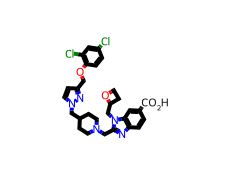 O=C(O)c1ccc2nc(CN3CCC(Cn4ccc(COc5ccc(Cl)cc5Cl)n4)CC3)n(CC3CCO3)c2c1